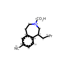 CC(C)CC1CN(C(=O)O)CCc2cc(C#N)ccc21